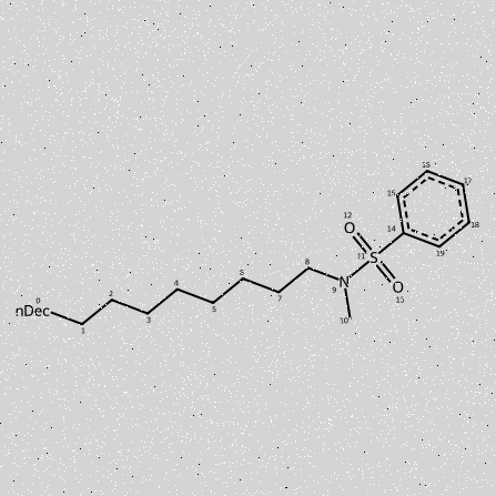 CCCCCCCCCCCCCCCCCCN(C)S(=O)(=O)c1cc[c]cc1